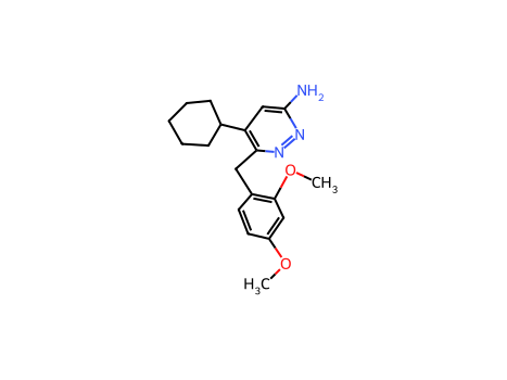 COc1ccc(Cc2nnc(N)cc2C2CCCCC2)c(OC)c1